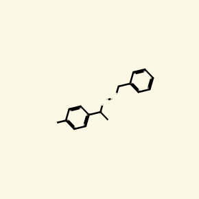 CC(C)c1ccc(C(C)OOCc2ccccc2)cc1